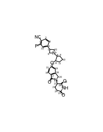 N#Cc1ccc(C2CN(C3CCCC3Oc3ccc4c(c3)CN(C3CCC(=O)NC3=O)C4=O)C2)cc1F